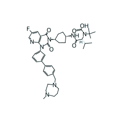 CC(C)[C@H](C(=O)N[C@H]1CC[C@@H](n2c(=O)c3cc(F)cnc3n(-c3cccc(-c4ccc(CN5CCCN(C)CC5)cc4)c3)c2=O)CC1)N(C(=O)O)C(C)(C)C